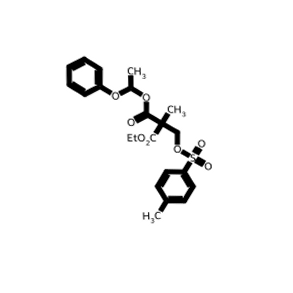 CCOC(=O)C(C)(COS(=O)(=O)c1ccc(C)cc1)C(=O)OC(C)Oc1ccccc1